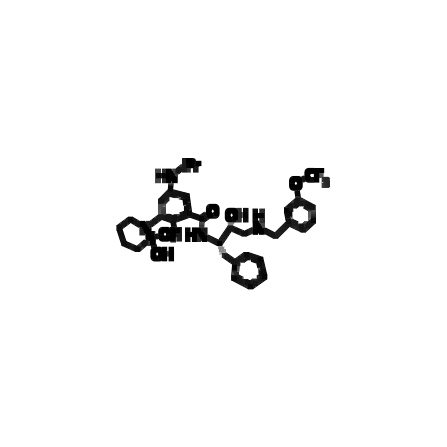 CC(C)Nc1cc(C(=O)N[C@@H](Cc2ccccc2)[C@H](O)CNCc2cccc(OC(F)(F)F)c2)c(F)c(N2CCCCS2(O)O)c1